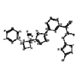 Cc1csc(CN(C)C(=O)c2cccc(-c3nnc([C@@]4(N)CC[C@@H]4c4ccccc4)o3)c2)n1